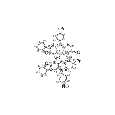 CC(C)c1ccc(N(c2ccc(N=O)cc2)c2cc3c4ccccc4oc3c3c2c2cccc4c5c(N(c6ccc(N=O)cc6)c6ccc(C(C)C)cc6)cc6c7ccccc7oc6c5n3c24)cc1